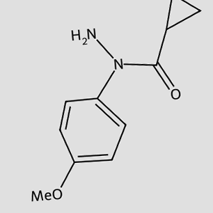 COc1ccc(N(N)C(=O)C2CC2)cc1